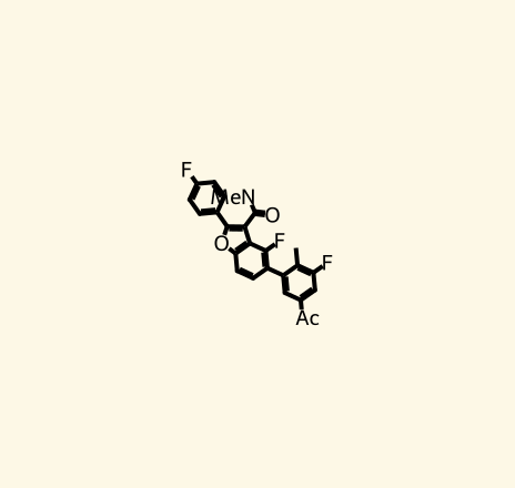 CNC(=O)c1c(-c2ccc(F)cc2)oc2ccc(-c3cc(C(C)=O)cc(F)c3C)c(F)c12